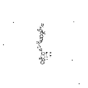 C[C@@H]1Cc2c([nH]c3ccccc23)[C@@H](c2c(F)cc(N3CC4(CCN(C(=O)CN5Cc6cc7c(cc6C5)C(=O)N(C5CCC(=O)NC5=O)C7)C4)C3)cc2F)N1CC(F)F